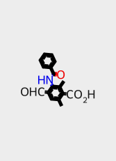 Cc1cc(C=O)c(NC(=O)c2ccccc2)c(C)c1C(=O)O